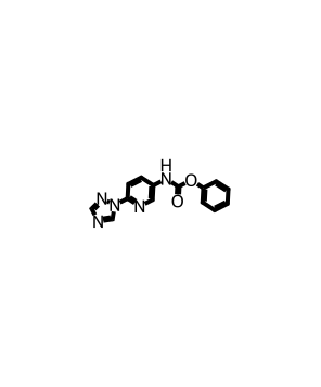 O=C(Nc1ccc(-n2cncn2)nc1)Oc1ccccc1